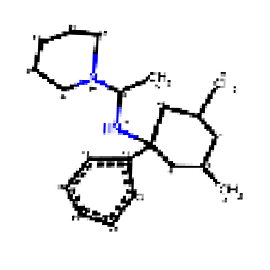 CC1CC(C)CC(NC(C)N2CCCCC2)(c2ccccc2)C1